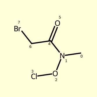 CN(OCl)C(=O)CBr